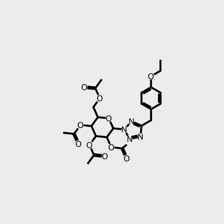 CCOc1ccc(Cc2nnn(C3OC(COC(C)=O)C(OC(C)=O)C(OC(C)=O)C3OC(C)=O)n2)cc1